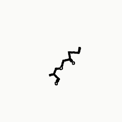 CCCC(=O)COCC(C)C=O